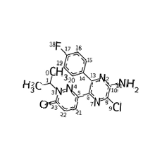 CC(C)n1nc(-c2nc(Cl)c(N)nc2-c2ccc(F)cc2)ccc1=O